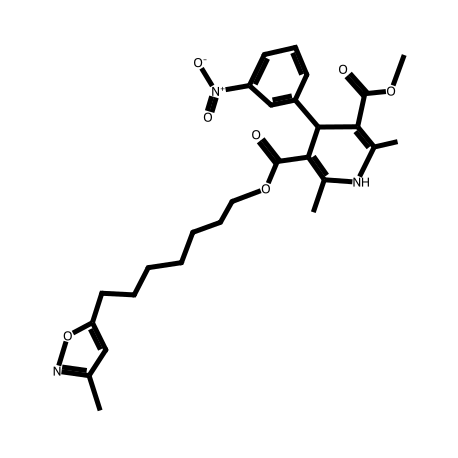 COC(=O)C1=C(C)NC(C)=C(C(=O)OCCCCCCCc2cc(C)no2)C1c1cccc([N+](=O)[O-])c1